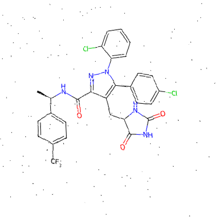 C[C@@H](NC(=O)c1nn(-c2ccccc2Cl)c(-c2ccc(Cl)cc2)c1CC1NC(=O)NC1=O)c1ccc(C(F)(F)F)cc1